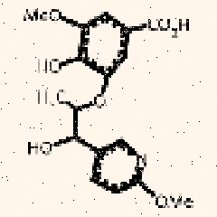 COc1ccc(C(O)C(C)Oc2cc(C(=O)O)cc(OC)c2O)cn1